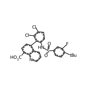 CC(C)(C)c1ccc(S(=O)(=O)Nc2ccc(Cl)c(Cl)c2-c2ccc(C(=O)O)c3ncccc23)cc1F